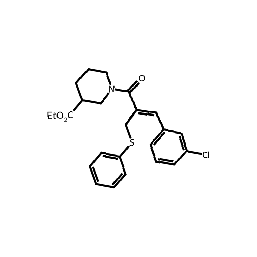 CCOC(=O)C1CCCN(C(=O)/C(=C/c2cccc(Cl)c2)CSc2ccccc2)C1